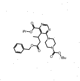 CC(C)OC(=O)c1ncnc(N2CCN(C(=O)OC(C)(C)C)CC2)c1C(C)CC(=O)OCc1ccccc1